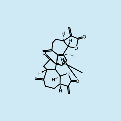 C=C1CC[C@H]2C(=C)C(=O)O[C@@H]2C2[C@H]1CC(=O)[C@]21CC[C@@]23OC(C)(C)O[C@]21C[C@H]1C(=C)CC[C@H]2C(=C)C(=O)O[C@@H]2[C@H]13